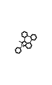 Cc1c2c3c(cccc3n1-c1ccccc1)-c1ccccc1-c1ccccc1-2